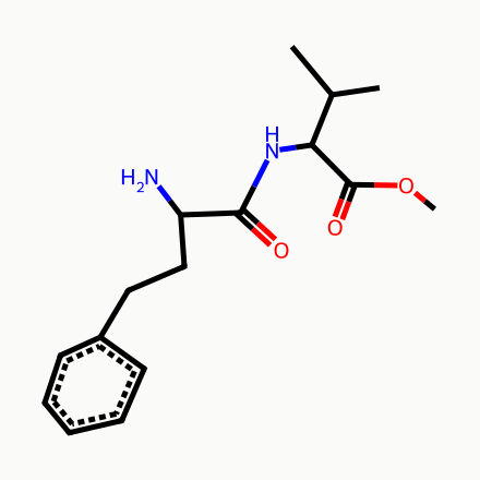 COC(=O)C(NC(=O)C(N)CCc1ccccc1)C(C)C